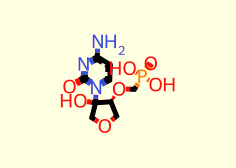 Nc1ccn(C2(O)COC[C@@H]2OCP(=O)(O)O)c(=O)n1